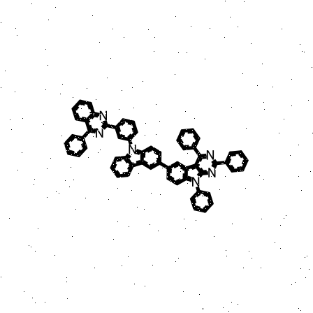 c1ccc(-c2nc(-c3ccccc3)c3c4cc(-c5ccc6c(c5)c5ccccc5n6-c5cccc(-c6nc(-c7ccccc7)c7ccccc7n6)c5)ccc4n(-c4ccccc4)c3n2)cc1